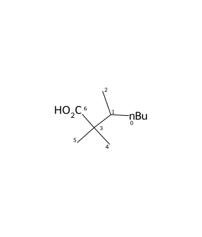 CCCCC(C)C(C)(C)C(=O)O